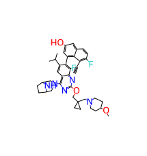 C#Cc1c(F)ccc2cc(O)cc(-c3c(C(C)C)cc4c(N5CC6CCC(C5)N6)nc(OCC5(CN6CCC(OC)CC6)CC5)nc4c3F)c12